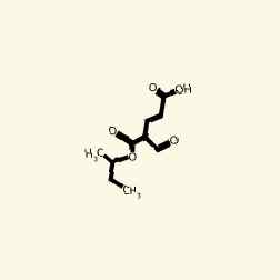 CCC(C)OC(=O)C(C=O)CCC(=O)O